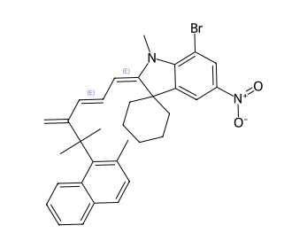 C=C(/C=C/C=C1/N(C)c2c(Br)cc([N+](=O)[O-])cc2C12CCCCC2)C(C)(C)c1c(C)ccc2ccccc12